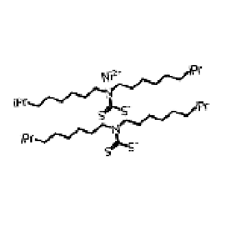 CC(C)CCCCCCN(CCCCCCC(C)C)C(=S)[S-].CC(C)CCCCCCN(CCCCCCC(C)C)C(=S)[S-].[Ni+2]